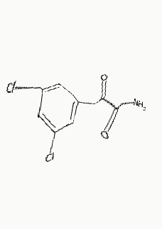 NC(=O)C(=O)c1cc(Cl)cc(Cl)c1